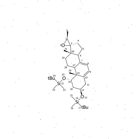 C[C@@H]1O[C@@]12CCC1C3=CC=C4C[C@@H](O[Si](C)(C)C(C)(C)C)C[C@H](O[Si](C)(C)C(C)(C)C)[C@]4(C)C3CC[C@@]12C